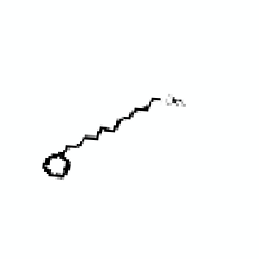 CCCCCCCCCCCCCCCCCCCCCc1[c]cccc1